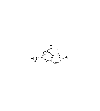 COc1nc(Br)ccc1NC(C)=O